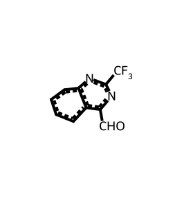 O=Cc1nc(C(F)(F)F)nc2ccccc12